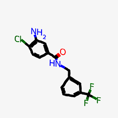 Nc1cc(C(=O)NCc2cccc(C(F)(F)F)c2)ccc1Cl